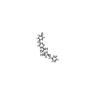 O=C(Nc1ccc(Oc2ccc(F)cc2)cc1)[C@@H]1C[C@@H](OCc2ccccc2)CN1